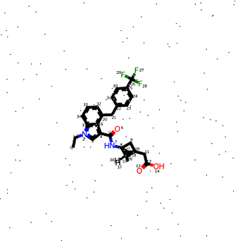 CCn1cc(C(=O)NC23CC(CC(=O)O)([C@@H]2C)[C@@H]3C)c2c(Cc3ccc(C(F)(F)F)cc3)cccc21